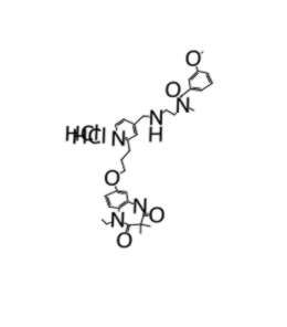 CCN1C(=O)C(C)(C)C(=O)N(C)c2cc(OCCCc3cc(CNCCN(C)C(=O)c4cccc(OC)c4)ccn3)ccc21.Cl.Cl